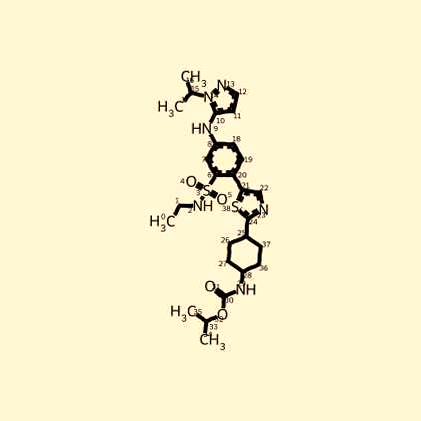 CCNS(=O)(=O)c1cc(Nc2ccnn2C(C)C)ccc1-c1cnc(C2CCC(NC(=O)OC(C)C)CC2)s1